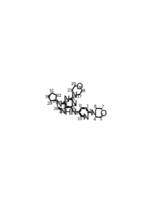 c1cc(N2CCOCC2)ncc1Nc1nc(N2CCOCC2)nc2c1ncn2C1CCCC1